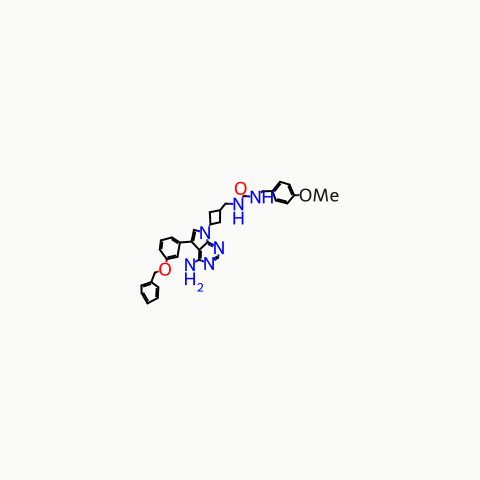 COc1ccc(CNC(=O)NCC2CC(n3cc(-c4cccc(OCc5ccccc5)c4)c4c(N)ncnc43)C2)cc1